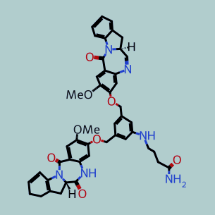 COc1cc2c(cc1OCc1cc(COc3cc4c(cc3OC)C(=O)N3C5=C(CCC=C5)C[C@H]3C(=O)N4)cc(NCCCC(N)=O)c1)N=C[C@@H]1Cc3ccccc3N1C2=O